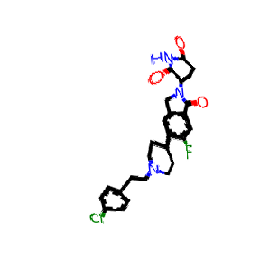 O=C1CCC(N2Cc3cc(C4CCN(CCc5ccc(Cl)cc5)CC4)c(F)cc3C2=O)C(=O)N1